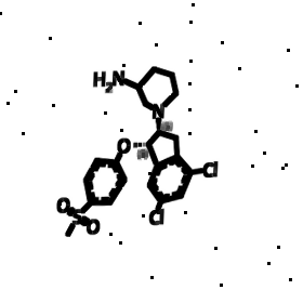 CS(=O)(=O)c1ccc(O[C@H]2c3cc(Cl)cc(Cl)c3C[C@@H]2N2CCCC(N)C2)cc1